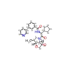 C[C@H]1CN(C(=O)[C@@H](NC(=O)c2cccc(-c3cccnc3)c2)C2CCCC2)[C@@H]2C(=O)CO[C@@H]21